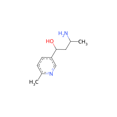 Cc1ccc(C(O)CC(C)N)cn1